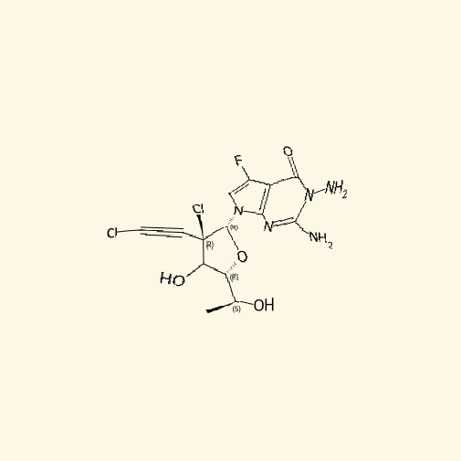 C[C@H](O)[C@H]1O[C@@H](n2cc(F)c3c(=O)n(N)c(N)nc32)[C@@](Cl)(C#CCl)C1O